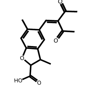 CC(=O)C(=Cc1cc2c(cc1C)OC(C(=O)O)C2C)C(C)=O